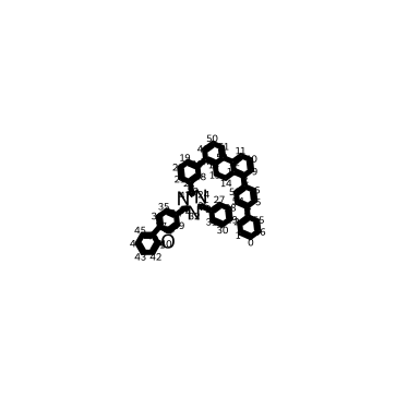 c1ccc(-c2ccc(-c3cccc4c3CCc3c(-c5cccc(-c6nc(-c7ccccc7)nc(-c7ccc8c(c7)oc7ccccc78)n6)c5)cccc3-4)cc2)cc1